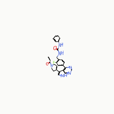 C=CC(=O)N1CC=C(c2c[nH]c3ncnc(-c4ccc(CNC(=O)Nc5ccccc5)c(F)c4)c23)CC1